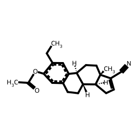 CCc1cc2c(cc1OC(C)=O)CC[C@@H]1[C@@H]2CC[C@]2(C)C(C#N)=CC[C@@H]12